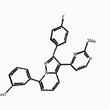 COc1cccc(-c2cccc3c(-c4ccnc(SC)n4)c(-c4ccc(F)cc4)nn23)c1